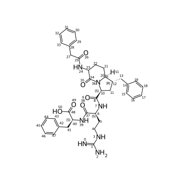 N=C(N)NCC[C@H](NC(=O)[C@@H]1C[C@@H](Cc2ccccc2)[C@@H]2CCC(NC(=O)Cc3ccccc3)C(=O)N12)C(=O)N[C@@H](Cc1ccccc1)C(=O)O